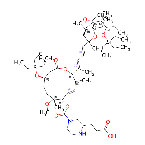 CC[C@H](O[Si](CC)(CC)CC)[C@@H](C)[C@H]1O[C@@H]1CC(C)(/C=C/C=C(\C)[C@H]1OC(=O)C[C@H](O[Si](CC)(CC)CC)CC[C@@](C)(OC)[C@@H](OC(=O)N2CCNC(CCC(=O)O)C2)/C=C/[C@@H]1C)O[Si](CC)(CC)CC